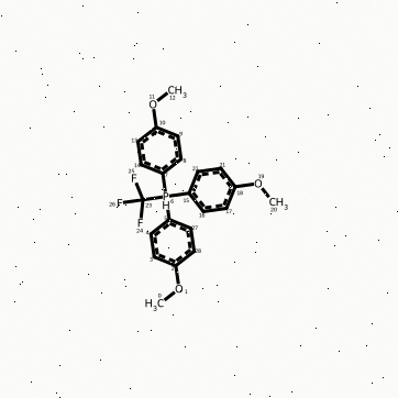 COc1ccc([PH](c2ccc(OC)cc2)(c2ccc(OC)cc2)C(F)(F)F)cc1